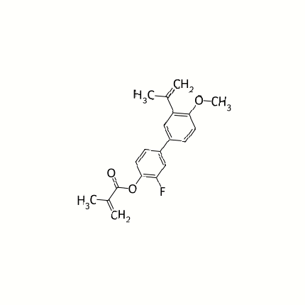 C=C(C)C(=O)Oc1ccc(-c2ccc(OC)c(C(=C)C)c2)cc1F